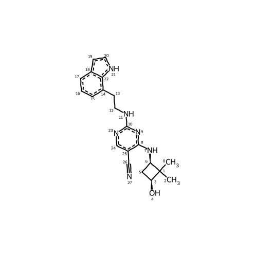 CC1(C)[C@@H](O)C[C@H]1Nc1nc(NCCc2cccc3cc[nH]c23)ncc1C#N